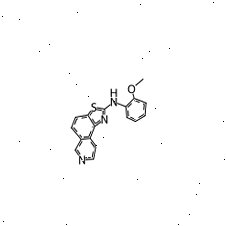 COc1ccccc1Nc1nc2c(ccc3cnccc32)s1